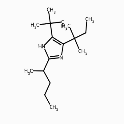 CCCC(C)c1nc(C(C)(C)CC)c(C(C)(C)C)[nH]1